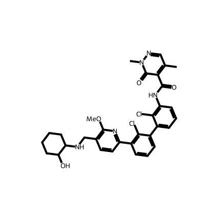 COc1nc(-c2cccc(-c3cccc(NC(=O)c4c(C)cnn(C)c4=O)c3Cl)c2Cl)ccc1CNC1CCCCC1O